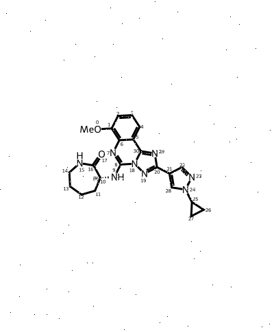 COc1cccc2c1nc(N[C@@H]1CCCCNC1=O)n1nc(-c3cnn(C4CC4)c3)nc21